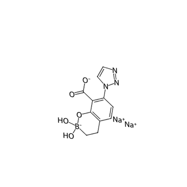 O=C([O-])c1c(-n2ccnn2)ccc2c1O[B-](O)(O)CC2.[Na+].[Na+]